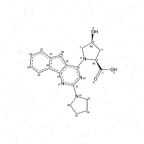 O=C(O)[C@@H]1C[C@H](O)CN1c1nc(N2CCCC2)nc2c1oc1ccccc12